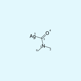 CN(C)[C](=O)[Ag]